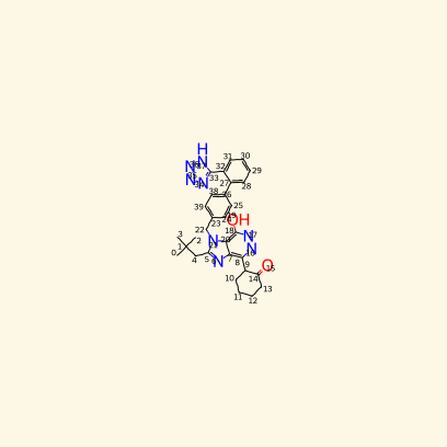 CC(C)(C)Cc1nc2c(C3CCCCC3=O)nnc(O)c2n1Cc1ccc(-c2ccccc2-c2nnn[nH]2)cc1